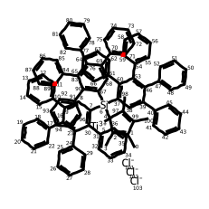 CC1=C(C)[C]([Ti+3])([Si](c2cc(-c3ccccc3)c(-c3ccccc3)c(-c3ccccc3)c2-c2ccccc2)(c2cc(-c3ccccc3)c(-c3ccccc3)c(-c3ccccc3)c2-c2ccccc2)c2cc(-c3ccccc3)c(-c3ccccc3)c(-c3ccccc3)c2-c2ccccc2)C(C)=C1C.[Cl-].[Cl-].[Cl-]